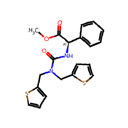 COC(=O)[C@H](NC(=O)N(Cc1cccs1)Cc1cccs1)c1ccccc1